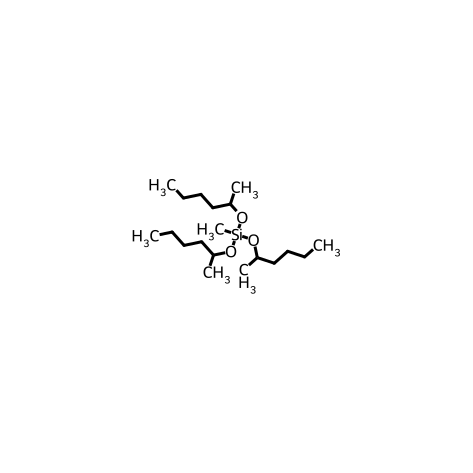 CCCCC(C)O[Si](C)(OC(C)CCCC)OC(C)CCCC